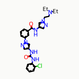 CCN(CC)CCn1cc(NC(=O)c2cccc(-n3cc(NC(=O)Nc4ccccc4Cl)cn3)c2)cn1